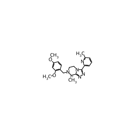 COc1ccc(CN2CCn3c(-c4cccc(C)n4)nnc3[C@@H]2C)c(OC)c1